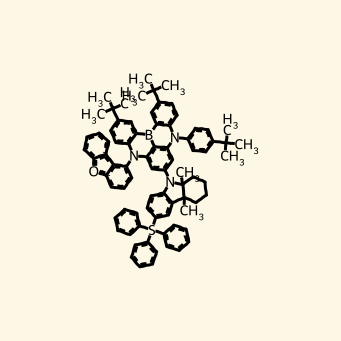 CC(C)(C)c1ccc(N2c3ccc(C(C)(C)C)cc3B3c4cc(C(C)(C)C)ccc4N(c4cccc5oc6ccccc6c45)c4cc(N5c6ccc(S(c7ccccc7)(c7ccccc7)c7ccccc7)cc6C6(C)CCCCC56C)cc2c43)cc1